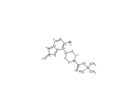 C[Si](C)(C)OC(=O)N1CCC(c2c(Br)ccc3c2=CC(=O)N=3)CC1